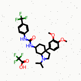 COc1ccc(C23CCC(NC(=O)Nc4ccc(C(F)(F)F)cc4)CC2N(C(C)C)CC3)cc1OC.O=C(O)C(F)(F)F